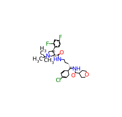 CC(C)(C)N1C[C@@H](C(=O)NCCC[C@H](NC(=O)C2CCOCC2)C2C=CC(Cl)=CC2)[C@H](c2ccc(F)cc2F)C1